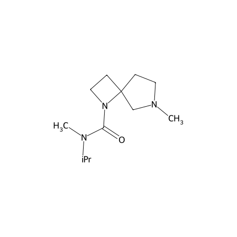 CC(C)N(C)C(=O)N1CCC12CCN(C)C2